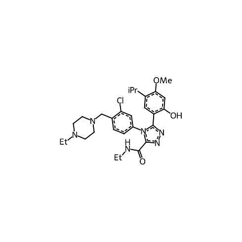 CCNC(=O)c1nnc(-c2cc(C(C)C)c(OC)cc2O)n1-c1ccc(CN2CCN(CC)CC2)c(Cl)c1